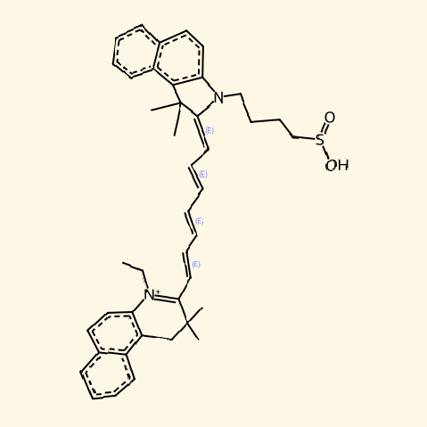 CC[N+]1=C(/C=C/C=C/C=C/C=C2/N(CCCCS(=O)O)c3ccc4ccccc4c3C2(C)C)C(C)(C)Cc2c1ccc1ccccc21